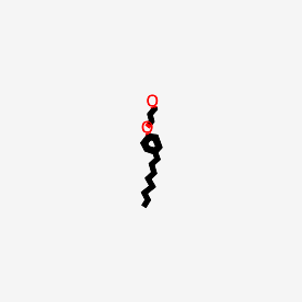 CCCCCCCCc1ccc(OCCC=O)cc1